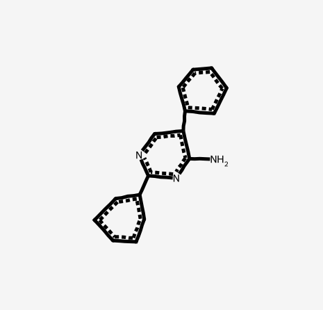 Nc1nc(-c2ccccc2)ncc1-c1ccccc1